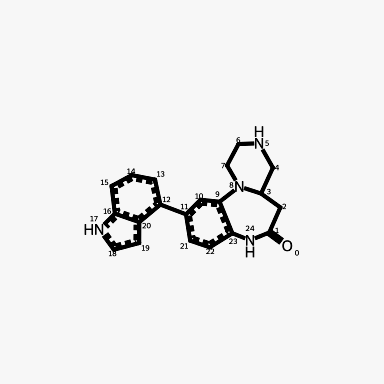 O=C1CC2CNCCN2c2cc(-c3cccc4[nH]ccc34)ccc2N1